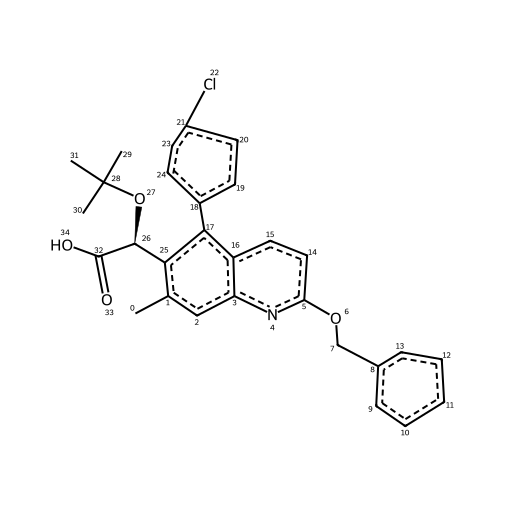 Cc1cc2nc(OCc3ccccc3)ccc2c(-c2ccc(Cl)cc2)c1[C@H](OC(C)(C)C)C(=O)O